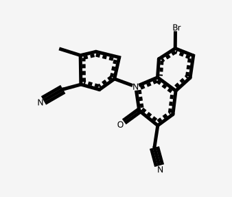 Cc1ccc(-n2c(=O)c(C#N)cc3ccc(Br)cc32)cc1C#N